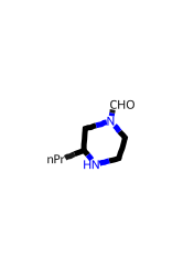 CCCC1CN(C=O)CCN1